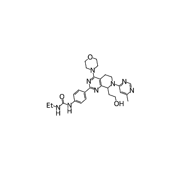 CCNC(=O)Nc1ccc(-c2nc3c(c(N4CCOCC4)n2)CCN(c2cc(C)ncn2)C3CCO)cc1